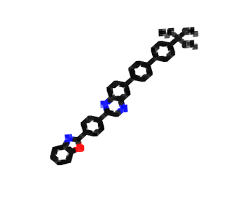 C[Si](C)(C)c1ccc(-c2ccc(-c3ccc4nc(-c5ccc(-c6nc7ccccc7o6)cc5)cnc4c3)cc2)cc1